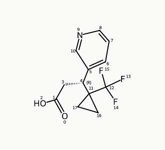 O=C(O)C[C@H](c1cccnc1)C1(C(F)(F)F)CC1